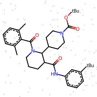 Cc1cccc(C)c1C(=O)N1CCCC(C(=O)Nc2cccc(C(C)(C)C)c2)C1C1CCN(C(=O)OC(C)(C)C)CC1